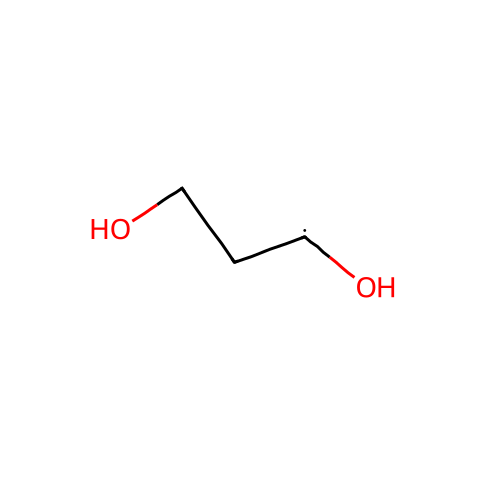 O[CH]CCO